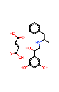 C[C@H](Cc1ccccc1)NC[C@H](O)c1cc(O)cc(O)c1.O=C(O)C=CC(=O)O